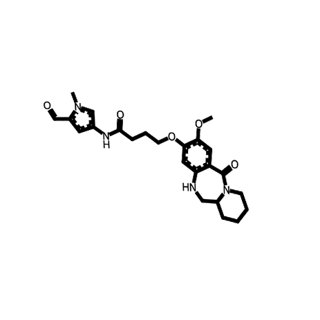 COc1cc2c(cc1OCCCC(=O)Nc1cc(C=O)n(C)c1)NCC1CCCCN1C2=O